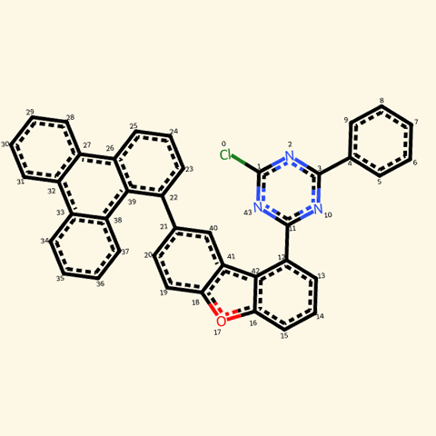 Clc1nc(-c2ccccc2)nc(-c2cccc3oc4ccc(-c5cccc6c7ccccc7c7ccccc7c56)cc4c23)n1